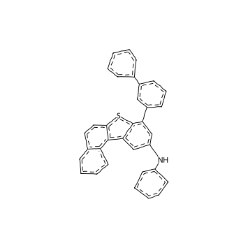 c1ccc(Nc2cc(-c3cccc(-c4ccccc4)c3)c3sc4ccc5ccccc5c4c3c2)cc1